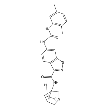 Cc1ccc(C)c(NC(=O)Nc2ccc3c(C(=O)N[C@H]4CN5CCC4CC5)nsc3c2)c1